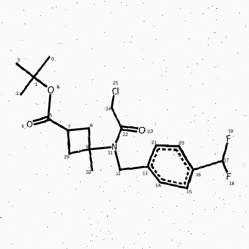 CC(C)(C)OC(=O)C1CC(C)(N(Cc2ccc(C(F)F)cc2)C(=O)CCl)C1